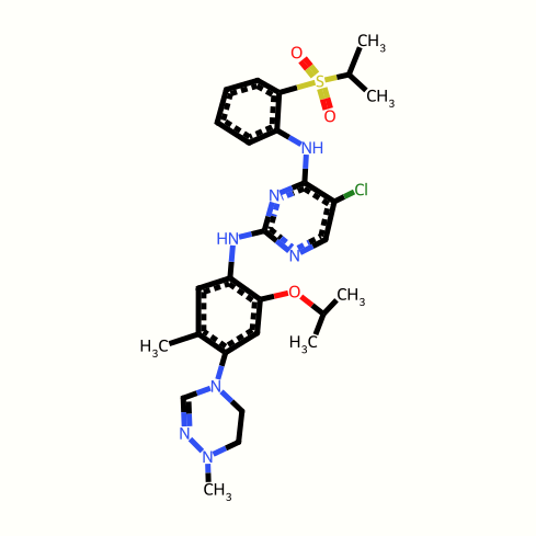 Cc1cc(Nc2ncc(Cl)c(Nc3ccccc3S(=O)(=O)C(C)C)n2)c(OC(C)C)cc1N1C=NN(C)CC1